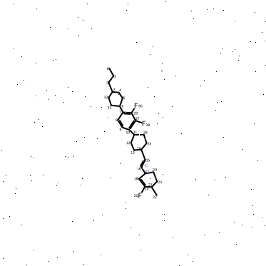 CCCC1CCC(c2ccc(C3CCC(/C=C/C4C=C(F)C(C)CC4)CC3)c(F)c2F)CC1